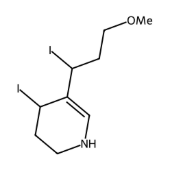 COCCC(I)C1=CNCCC1I